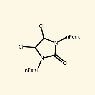 CCCCCN1C(=O)N(CCCCC)C(Cl)C1Cl